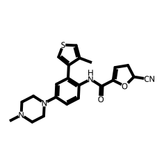 Cc1cscc1-c1cc(N2CCN(C)CC2)ccc1NC(=O)C1=CCC(C#N)O1